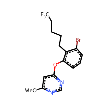 COc1cc(Oc2cccc(Br)c2CCCCC(F)(F)F)ncn1